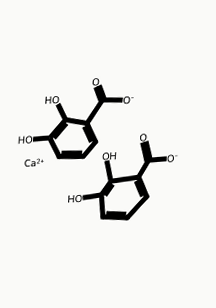 O=C([O-])c1cccc(O)c1O.O=C([O-])c1cccc(O)c1O.[Ca+2]